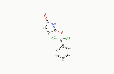 O=C1C=CC(OC(Cl)(Cl)c2ccccc2)=N1